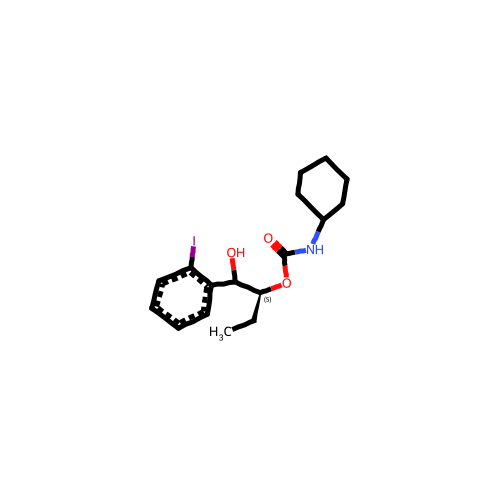 CC[C@H](OC(=O)NC1CCCCC1)C(O)c1ccccc1I